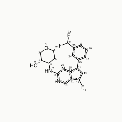 O[C@@H]1COCC[C@H]1Nc1ncc2c(F)cc(-c3cncc(C(F)F)c3)n2n1